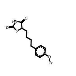 CC(C)Oc1ccc(CCCCC2SC(=O)NC2=O)cc1